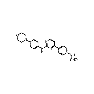 O=CNc1ccc(-c2ccnc(Nc3ccc(N4CCOCC4)cc3)n2)cc1